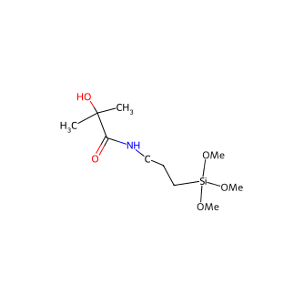 CO[Si](CCCNC(=O)C(C)(C)O)(OC)OC